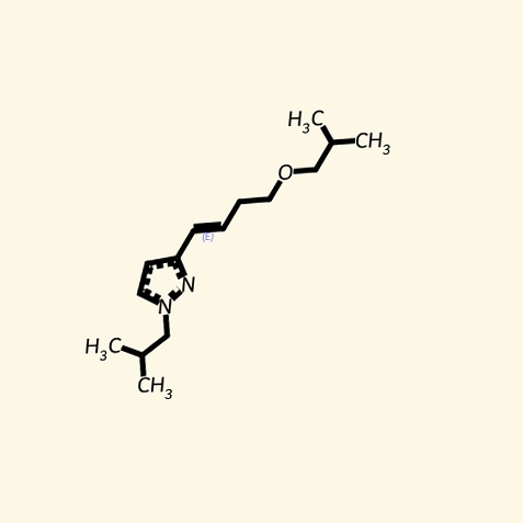 CC(C)COCC/C=C/c1ccn(CC(C)C)n1